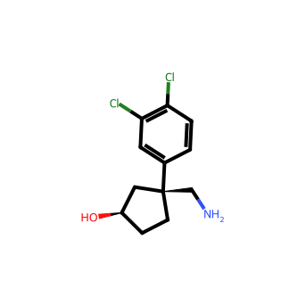 NC[C@@]1(c2ccc(Cl)c(Cl)c2)CC[C@@H](O)C1